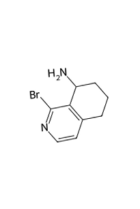 NC1CCCc2ccnc(Br)c21